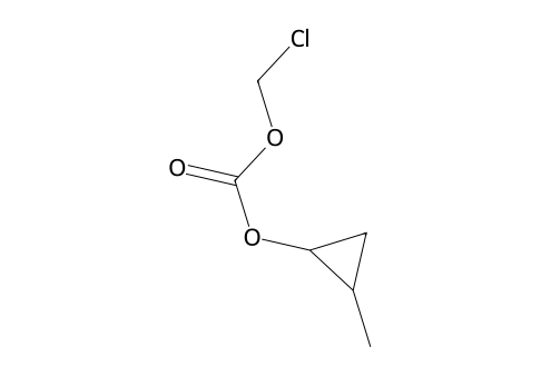 CC1CC1OC(=O)OCCl